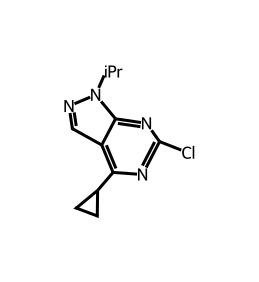 CC(C)n1ncc2c(C3CC3)nc(Cl)nc21